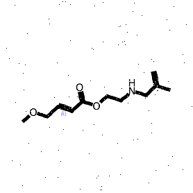 C=C(C)CNCCOC(=O)/C=C/COC